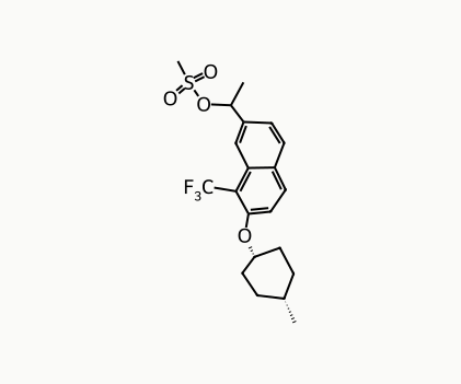 CC(OS(C)(=O)=O)c1ccc2ccc(O[C@H]3CC[C@@H](C)CC3)c(C(F)(F)F)c2c1